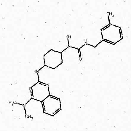 Cc1cccc(CNC(=O)N(S)C2CCC(Nc3nc(N(C)C)c4ccccc4n3)CC2)c1